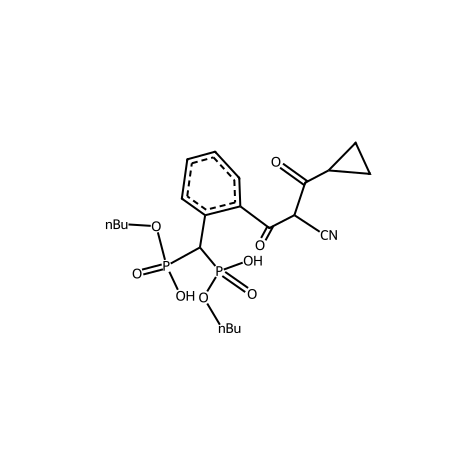 CCCCOP(=O)(O)C(c1ccccc1C(=O)C(C#N)C(=O)C1CC1)P(=O)(O)OCCCC